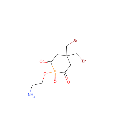 NCCOP1(=O)C(=O)CC(CBr)(CBr)CC1=O